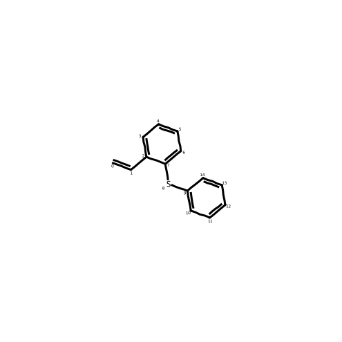 C=Cc1ccccc1Sc1ccccc1